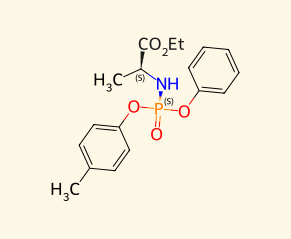 CCOC(=O)[C@H](C)N[P@](=O)(Oc1ccccc1)Oc1ccc(C)cc1